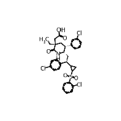 CC[C@@]1(CC(=O)O)C[C@H](c2cccc(Cl)c2)[C@H](C[C@H](c2ccc(Cl)cc2)C2CC2S(=O)(=O)c2ccccc2Cl)NC1=O